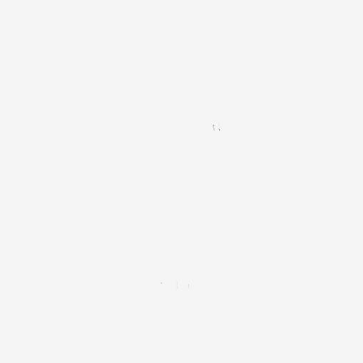 Cc1cncc(-c2ccc(C=O)cc2)c1